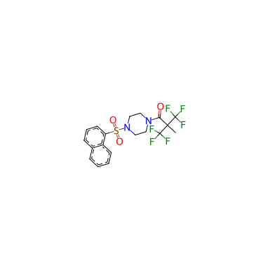 CC(C(=O)N1CCN(S(=O)(=O)c2cccc3ccccc23)CC1)(C(F)(F)F)C(F)(F)F